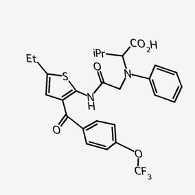 CCc1cc(C(=O)c2ccc(OC(F)(F)F)cc2)c(NC(=O)CN(c2ccccc2)C(C(=O)O)C(C)C)s1